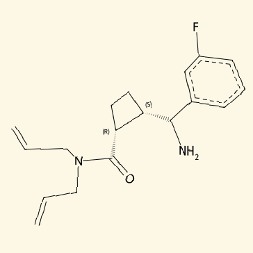 C=CCN(CC=C)C(=O)[C@@H]1CC[C@@H]1C(N)c1cccc(F)c1